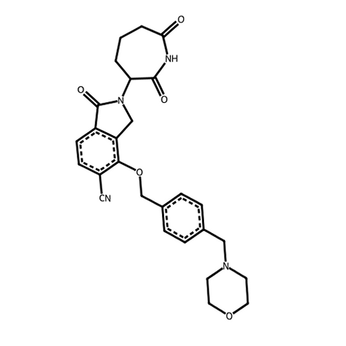 N#Cc1ccc2c(c1OCc1ccc(CN3CCOCC3)cc1)CN(C1CCCC(=O)NC1=O)C2=O